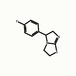 Fc1ccc(C2CN=C3SCCN32)cc1